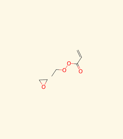 C1CO1.C=CC(=O)OOCC